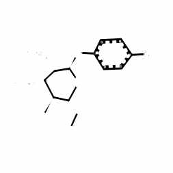 CC(=O)N[C@@H]1[C@@H](Oc2ccc([N+](=O)[O-])cc2)O[C@H](CO)[C@@H](O)[C@@H]1OC(C)=O